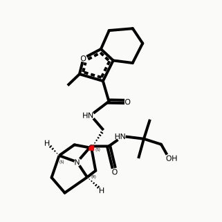 Cc1oc2c(c1C(=O)NC[C@@H]1C[C@H]3CC[C@@H](C1)N3CC(=O)NC(C)(C)CO)CCCC2